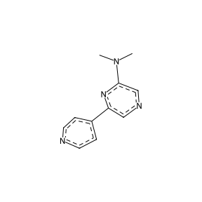 CN(C)c1cncc(-c2ccncc2)n1